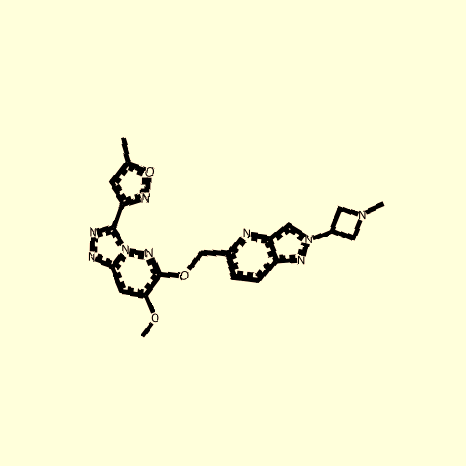 COc1cc2nnc(-c3cc(C)on3)n2nc1OCc1ccc2nn(C3CN(C)C3)cc2n1